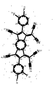 N#CC(C#N)=C1C(c2ccc(F)c(F)c2)=C(C#N)c2cc3c(cc21)C(=C(C#N)C#N)C(c1ccc(F)c(F)c1)=C3C#N